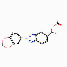 CCCCCCCC(=O)OC(C)c1ccc2nn(-c3ccc4c(c3)OCO4)nc2c1